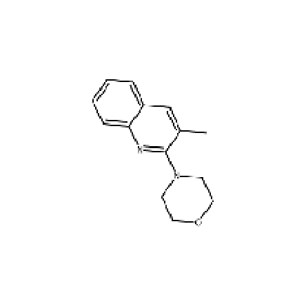 Cc1cc2ccccc2nc1N1CCOCC1